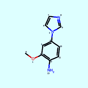 COc1cc(-n2ccnc2)ccc1N